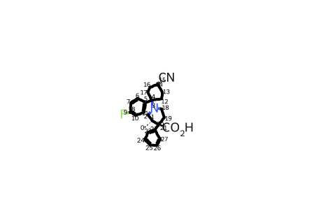 C[C@@H]1CN(C2(c3ccc(F)cc3)CCC(C#N)CC2)CC[C@]1(C(=O)O)c1ccccc1